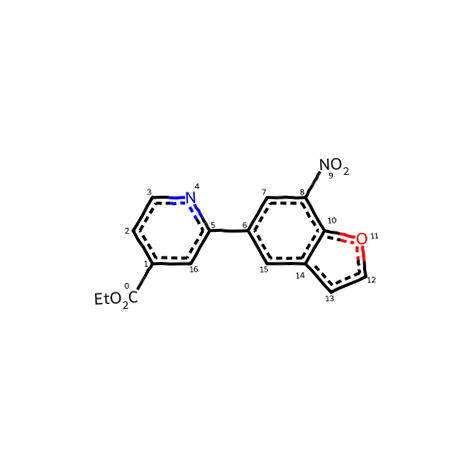 CCOC(=O)c1ccnc(-c2cc([N+](=O)[O-])c3occc3c2)c1